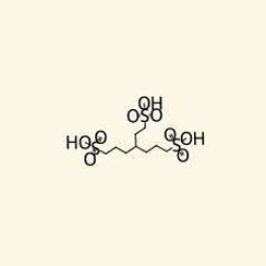 O=S(=O)(O)CCCC(CCCS(=O)(=O)O)CCS(=O)(=O)O